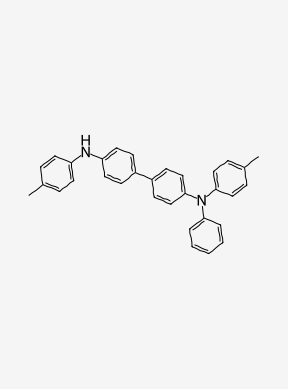 Cc1ccc(Nc2ccc(-c3ccc(N(c4ccccc4)c4ccc(C)cc4)cc3)cc2)cc1